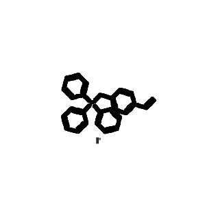 C=Cc1ccc(C[P+](c2ccccc2)(c2ccccc2)c2ccccc2)cc1.[I-]